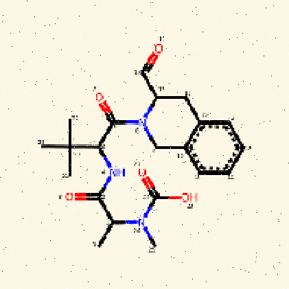 CC(C(=O)NC(C(=O)N1Cc2ccccc2CC1C=O)C(C)(C)C)N(C)C(=O)O